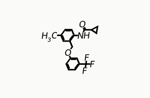 Cc1ccc(NC(=O)C2CC2)c(COc2cccc(C(F)(F)F)c2)c1